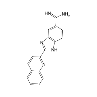 N=C(N)c1ccc2[nH]c(-c3ccc4ccccc4n3)nc2c1